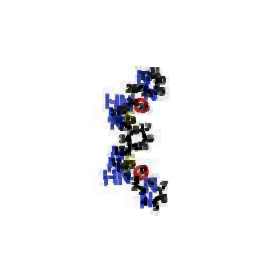 O=C(Cc1ncccn1)Nc1nnc([C@@H]2CCC[C@@H](c3nnc(NC(=O)Cc4ncccn4)s3)C2)s1